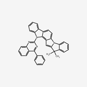 CC1(C)c2ccccc2-n2c1cc1c2ccc2c3ccccc3n(-c3nc(-c4ccccc4)c4ccccc4n3)c21